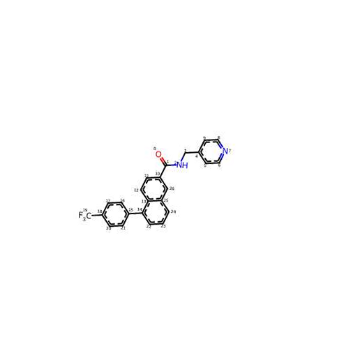 O=C(NCc1ccncc1)c1ccc2c(-c3ccc(C(F)(F)F)cc3)cccc2c1